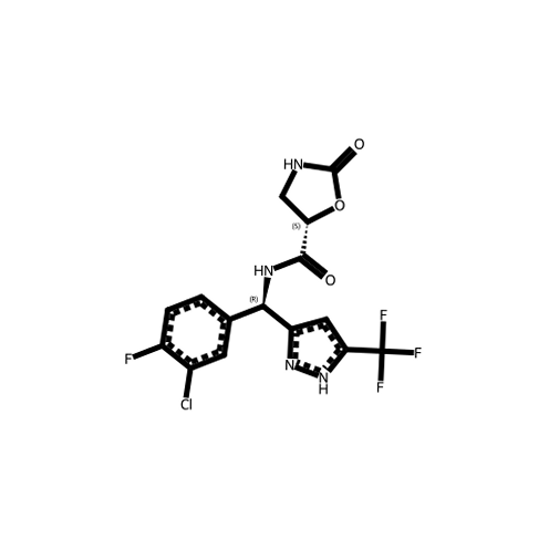 O=C1NC[C@@H](C(=O)N[C@H](c2ccc(F)c(Cl)c2)c2cc(C(F)(F)F)[nH]n2)O1